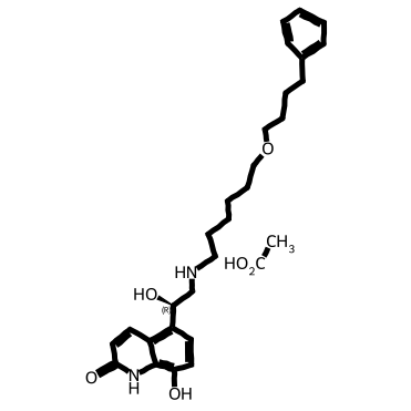 CC(=O)O.O=c1ccc2c([C@@H](O)CNCCCCCCOCCCCc3ccccc3)ccc(O)c2[nH]1